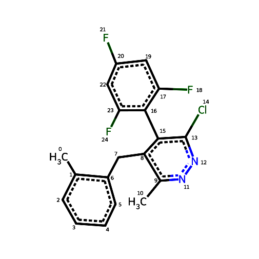 Cc1ccccc1Cc1c(C)nnc(Cl)c1-c1c(F)cc(F)cc1F